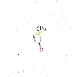 C[SH]1C=CC(=O)C1